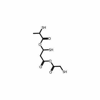 CC(S)C(=O)OC(S)CC(=O)OC(=O)CS